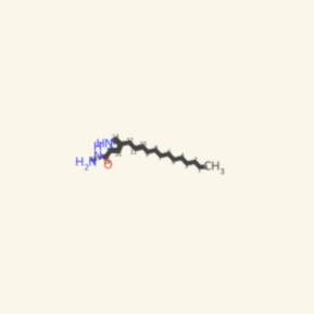 CCCCCCCCCCC=CCc1c[nH]c(C(=O)NN)c1